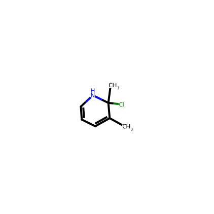 CC1=CC=CNC1(C)Cl